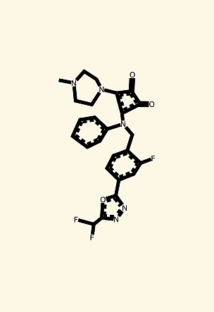 CN1CCN(c2c(N(Cc3ccc(-c4nnc(C(F)F)o4)cc3F)c3ccccc3)c(=O)c2=O)CC1